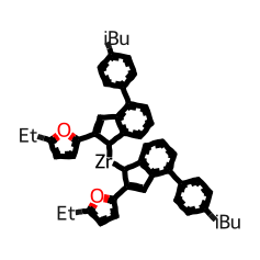 CCc1ccc(C2=Cc3c(-c4ccc(C(C)CC)cc4)cccc3[CH]2[Zr][CH]2C(c3ccc(CC)o3)=Cc3c(-c4ccc(C(C)CC)cc4)cccc32)o1